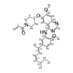 C=CC(=O)N1CCC(Oc2cc3c(Nc4cc(/C(C)=C/C=C\C(C)CC)ccc4OC)ncnc3cc2OC)CC1